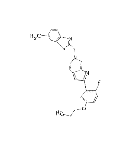 Cc1ccc2nc(Cn3ccc4cc(-c5cc(OCCO)ccc5F)nc-4c3)sc2c1